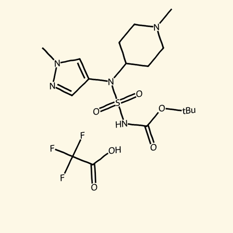 CN1CCC(N(c2cnn(C)c2)S(=O)(=O)NC(=O)OC(C)(C)C)CC1.O=C(O)C(F)(F)F